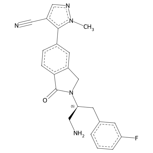 Cn1ncc(C#N)c1-c1ccc2c(c1)CN([C@H](CN)Cc1cccc(F)c1)C2=O